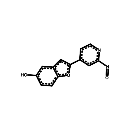 O=Nc1cc(-c2cc3cc(O)ccc3o2)ccn1